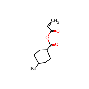 C=CC(=O)OC(=O)C1CCC(C(C)(C)C)CC1